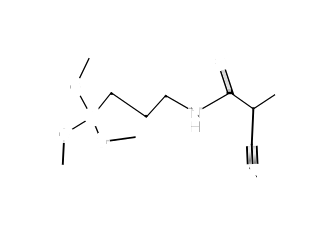 CO[Si](CCCNC(=O)C(C)C#N)(OC)OC